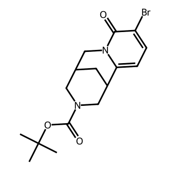 CC(C)(C)OC(=O)N1CC2CC(C1)c1ccc(Br)c(=O)n1C2